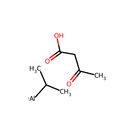 CC(=O)CC(=O)O.C[CH](C)[Al]